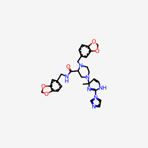 CC1(N2CCN(Cc3ccc4c(c3)OCO4)C(C(=O)NCc3ccc4c(c3)OCO4)C2)C=CNC(n2ccnc2)=N1